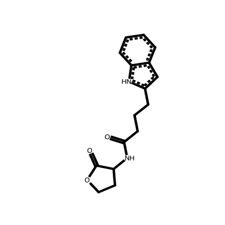 O=C(CCCc1cc2ccccc2[nH]1)NC1CCOC1=O